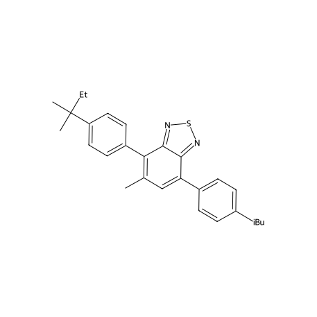 CCC(C)c1ccc(-c2cc(C)c(-c3ccc(C(C)(C)CC)cc3)c3nsnc23)cc1